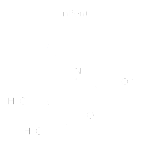 CCCCC/C=C1/C2N1C(=O)OCC2(C)C